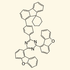 c1ccc2c(c1)-c1cccc(-c3ccc(-c4nc(-c5cccc6oc7ccccc7c56)nc(-c5cccc6oc7ccccc7c56)n4)cc3)c1C21CCCCC1